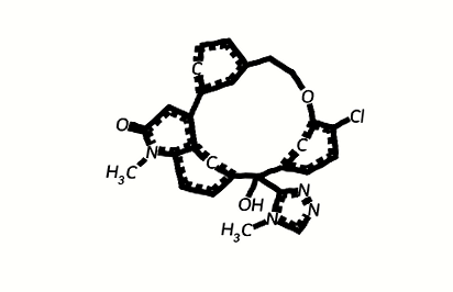 Cn1cnnc1C1(O)c2ccc(Cl)c(c2)OCCc2cccc(c2)-c2cc(=O)n(C)c3ccc1cc23